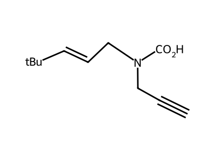 C#CCN(CC=CC(C)(C)C)C(=O)O